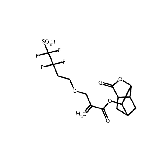 C=C(COCCC(F)(F)C(F)(F)S(=O)(=O)O)C(=O)OC1C2CC3C(=O)OC1C3C2